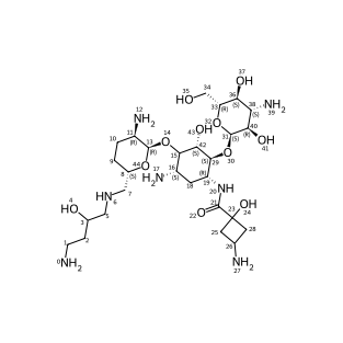 NCCC(O)CNC[C@@H]1CC[C@@H](N)[C@@H](OC2[C@@H](N)C[C@@H](NC(=O)C3(O)CC(N)C3)[C@H](O[C@H]3O[C@H](CO)[C@@H](O)[C@H](N)[C@H]3O)[C@H]2O)O1